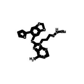 CC(C)(C)NSCCCn1c(Sc2cc3c(cc2-c2ccco2)OCO3)nc2c(N)ncnc21